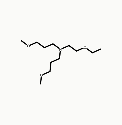 CCOCCN(CCCOC)CCCOC